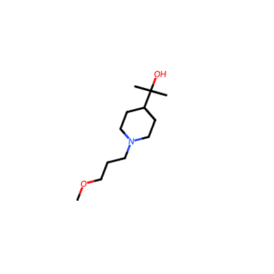 COCCCN1CCC(C(C)(C)O)CC1